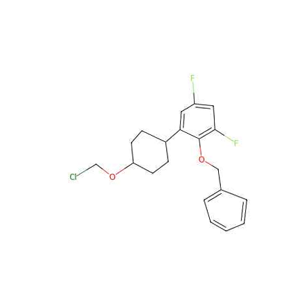 Fc1cc(F)c(OCc2ccccc2)c(C2CCC(OCCl)CC2)c1